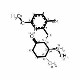 COc1ccc(Br)c(C[C@H]2C(=O)CC[C@@H](C)[C@@H]2[SiH2]C)n1